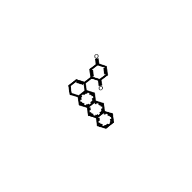 O=C1C=CC(=O)C(C2=CCCc3cc4cc5ccccc5cc4cc32)=C1